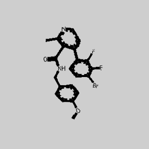 COc1ccc(CNC(=O)c2c(-c3ccc(Br)c(F)c3F)ccnc2C)cc1